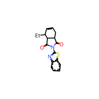 CCC1C=CCC2C(=O)N(c3nc4ccccc4s3)C(=O)C12